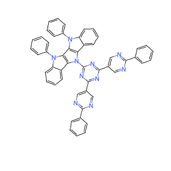 c1ccc(-c2ncc(-c3nc(-c4cnc(-c5ccccc5)nc4)nc(-n4c5c6ccccc6n(-c6ccccc6)c5c5c4c4ccccc4n5-c4ccccc4)n3)cn2)cc1